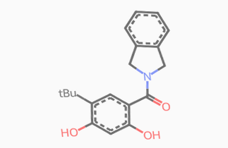 CC(C)(C)c1cc(C(=O)N2Cc3ccccc3C2)c(O)cc1O